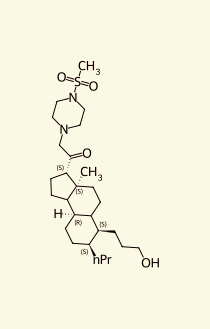 CCC[C@H]1CC[C@@H]2C(CC[C@@]3(C)C2CC[C@@H]3C(=O)CN2CCN(S(C)(=O)=O)CC2)[C@H]1CCCO